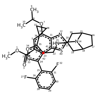 COC(=O)c1cc(OC(C)C)c2nc(N3C4CCC3CC(NCc3c(-c5c(F)cccc5F)noc3C3CC3)C4)sc2c1